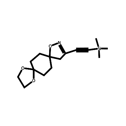 C[Si](C)(C)C#CC1=NOC2(CCC3(CC2)OCCO3)C1